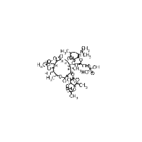 CO[C@H]1C[C@H](O[C@H]2[C@H](C)[C@@H](O[C@@H]3O[C@H](C)C[C@H](N(C)C)[C@H]3OC(C)=O)[C@@H](C)C[C@@]3(CO3)C(=O)[C@H](C)[C@@H](OC(C)=O)[C@@H](C)[C@@H](C)OC(=O)[C@@H]2C)O[C@@H](C)[C@@H]1OC(C)=O.O=S(=O)(O)O